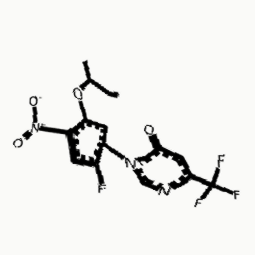 CC(C)Oc1cc(-n2cnc(C(F)(F)F)cc2=O)c(F)cc1[N+](=O)[O-]